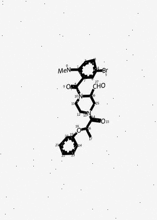 CNc1ccc(Br)cc1C(=O)N1CCN(C(=O)C(C)Oc2ccccc2)CC1C=O